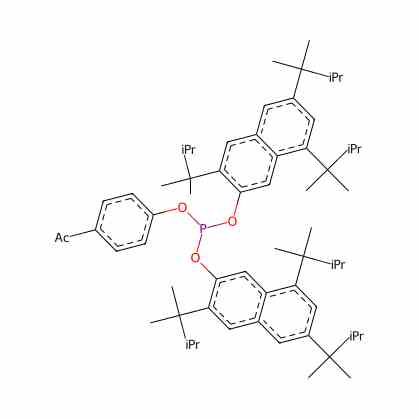 CC(=O)c1ccc(OP(Oc2cc3c(C(C)(C)C(C)C)cc(C(C)(C)C(C)C)cc3cc2C(C)(C)C(C)C)Oc2cc3c(C(C)(C)C(C)C)cc(C(C)(C)C(C)C)cc3cc2C(C)(C)C(C)C)cc1